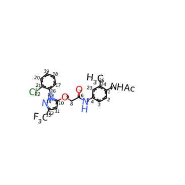 CC(=O)Nc1ccc(NC(=O)COc2cc(C(F)(F)F)nn2-c2ccccc2Cl)cc1C